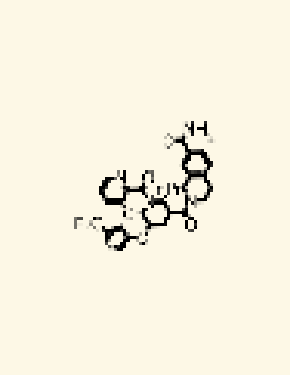 CCC[C@@H]1[C@@H](C(=O)N2CCc3ccc(C(N)=O)cc3C2)CC(Oc2csc(C(F)(F)F)c2)CN1C(=O)c1ncccc1C(F)(F)F